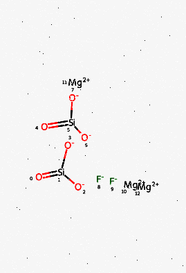 O=[Si]([O-])[O-].O=[Si]([O-])[O-].[F-].[F-].[Mg+2].[Mg+2].[Mg+2]